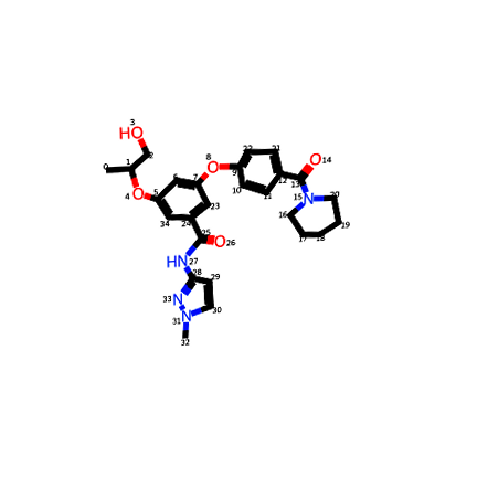 CC(CO)Oc1cc(Oc2ccc(C(=O)N3CCCCC3)cc2)cc(C(=O)Nc2ccn(C)n2)c1